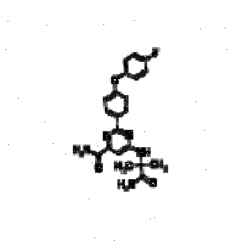 CC(C)(Nc1cc(C(N)=O)nc(-c2ccc(Oc3ccc(F)cc3)cc2)n1)C(N)=O